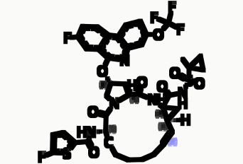 CC1(S(=O)(=O)NC(=O)[C@@]23C[C@H]2/C=C\CCCCC[C@H](NC(=O)c2ccc(F)s2)C(=O)N2C[C@H](Oc4nc5cc(OC(F)(F)F)ccc5c5ccc(F)cc45)C[C@H]2C(=O)N3)CC1